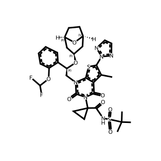 Cc1c(-n2nccn2)sc2c1c(=O)n(C1(C(=O)NS(=O)(=O)C(C)(C)C)CC1)c(=O)n2C[C@H](O[C@H]1C[C@H]2CC[C@@H](C1)O2)c1ccccc1OC(F)F